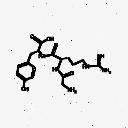 N=C(N)NCCC[C@H](NC(=O)CN)C(=O)N[C@@H](Cc1ccc(O)cc1)C(=O)O